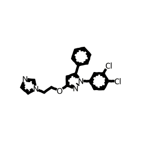 Clc1ccc(-n2nc(OCCn3ccnc3)cc2-c2ccccc2)cc1Cl